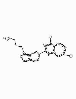 NCCCc1occ2ccc(-c3nc4cc(Cl)ccc4c(=O)[nH]3)cc12